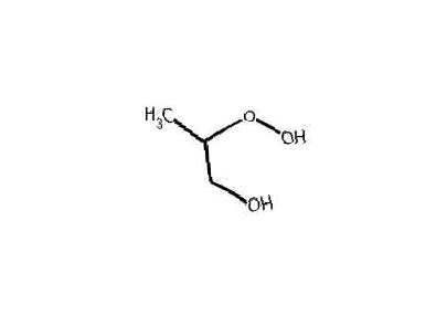 CC(CO)OO